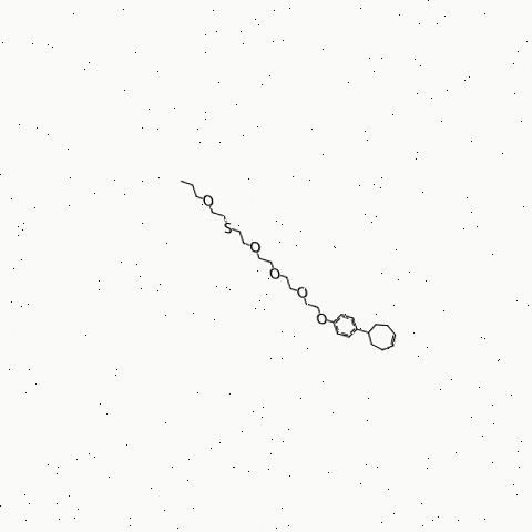 CCCOCCSCCOCCOCCOCCOc1ccc(C2CCC=CCC2)cc1